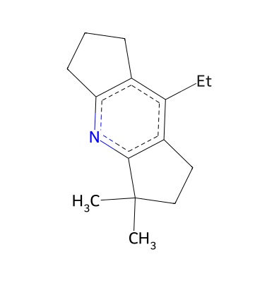 CCc1c2c(nc3c1CCC3(C)C)CCC2